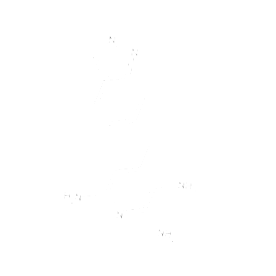 Cn1ncc2ccc(Cc3cc(N)nc(N)c3N)cc21